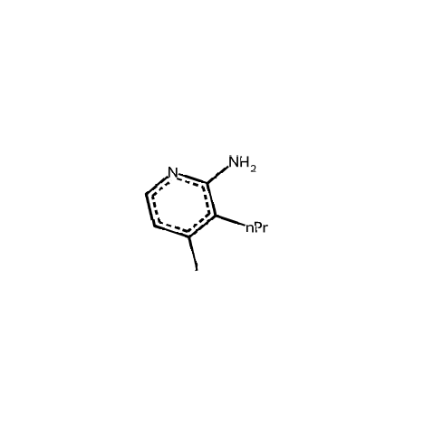 CCCc1c(C)ccnc1N